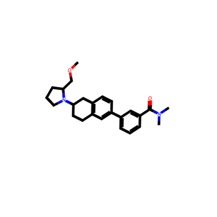 COCC1CCCN1C1CCc2cc(-c3cccc(C(=O)N(C)C)c3)ccc2C1